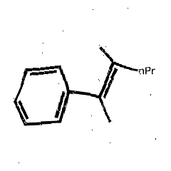 CCCC(C)=C(C)c1ccccc1